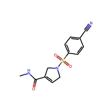 CNC(=O)C1=CCN(S(=O)(=O)c2ccc(C#N)cc2)C1